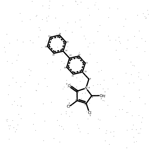 O=C1C(Cl)=C(Cl)C(O)N1Cc1ccc(-c2ccccc2)cc1